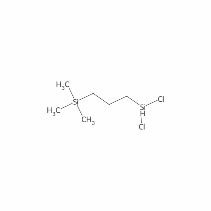 C[Si](C)(C)CCC[SiH](Cl)Cl